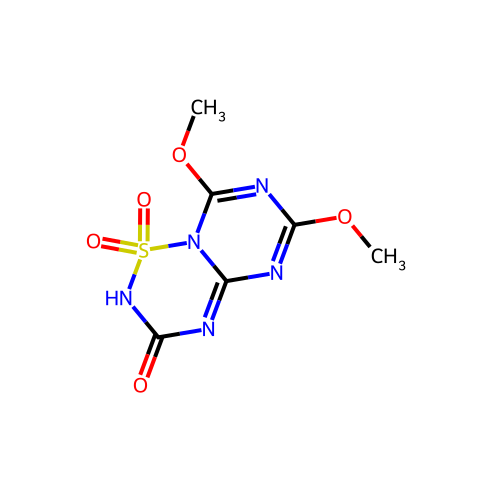 COC1=NC2=NC(=O)NS(=O)(=O)N2C(OC)=N1